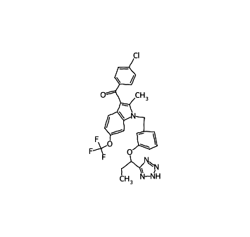 CCC(Oc1cccc(Cn2c(C)c(C(=O)c3ccc(Cl)cc3)c3ccc(OC(F)(F)F)cc32)c1)c1nn[nH]n1